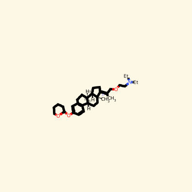 CCN(CC)CCOC/C(C)=C1\CC[C@H]2[C@@H]3CCc4cc(OC5CCCCO5)ccc4[C@H]3CC[C@]12C